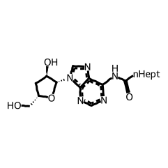 CCCCCCCC(=O)Nc1ncnc2c1ncn2[C@@H]1O[C@H](CO)C[C@H]1O